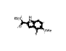 COC(=O)c1cc2c(F)c(OC)ccc2[nH]1